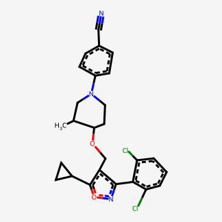 CC1CN(c2ccc(C#N)cc2)CCC1OCc1c(-c2c(Cl)cccc2Cl)noc1C1CC1